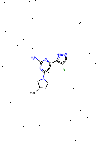 CN[C@@H]1CCN(c2cc(-c3[nH]ncc3Br)nc(N)n2)C1